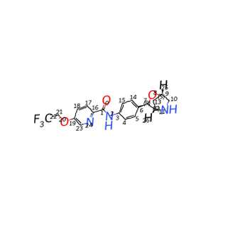 O=C(Nc1ccc([C@H]2O[C@@H]3CN[C@H]2C3)cc1)c1ccc(OCC(F)(F)F)cn1